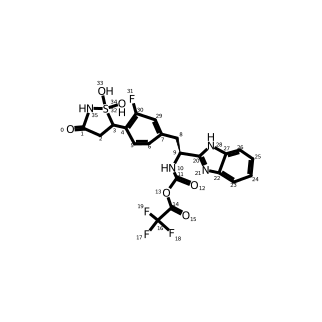 O=C1CC(c2ccc(C[C@H](NC(=O)OC(=O)C(F)(F)F)c3nc4ccccc4[nH]3)cc2F)S(O)(O)N1